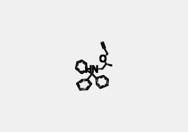 C#CCO[C@@H](C)CNC(c1ccccc1)(c1ccccc1)c1ccccc1